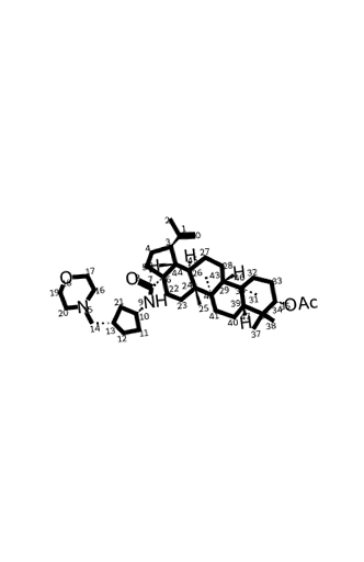 C=C(C)[C@@H]1CC[C@]2(C(=O)N[C@@H]3CC[C@H](CN4CCOCC4)C3)CC[C@]3(C)[C@H](CC[C@@H]4[C@@]5(C)CC[C@H](OC(C)=O)C(C)(C)[C@@H]5CC[C@]43C)[C@@H]12